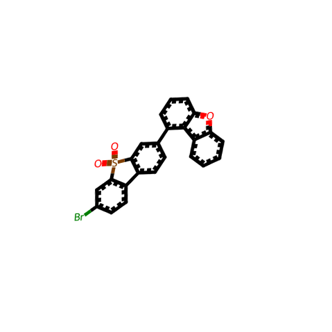 O=S1(=O)c2cc(Br)ccc2-c2ccc(-c3cccc4oc5ccccc5c34)cc21